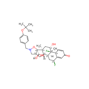 CC(C)(C)Oc1ccc(CN2C[C@@H]3C[C@H]4[C@@H]5C[C@H](F)C6=CC(=O)C=C[C@]6(C)[C@@]5(F)[C@@H](O)C[C@]4(C)[C@]3(C(=O)O)O2)cc1